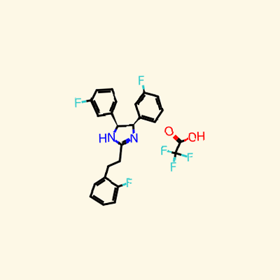 Fc1cccc([C@H]2N=C(CCc3ccccc3F)N[C@H]2c2cccc(F)c2)c1.O=C(O)C(F)(F)F